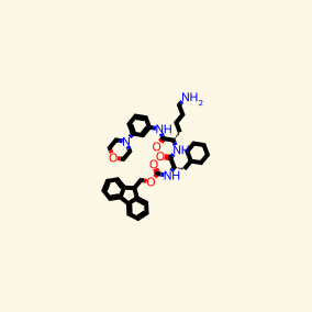 NCCCC[C@H](NC(=O)[C@H](CC1CCCCC1)NC(=O)OCC1c2ccccc2-c2ccccc21)C(=O)Nc1cccc(N2CCOCC2)c1